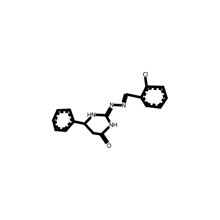 O=C1CC(c2ccccc2)NC(=NN=Cc2ccccc2Cl)N1